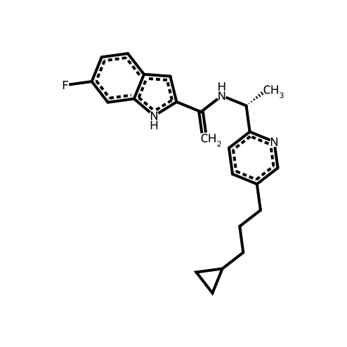 C=C(N[C@H](C)c1ccc(CCCC2CC2)cn1)c1cc2ccc(F)cc2[nH]1